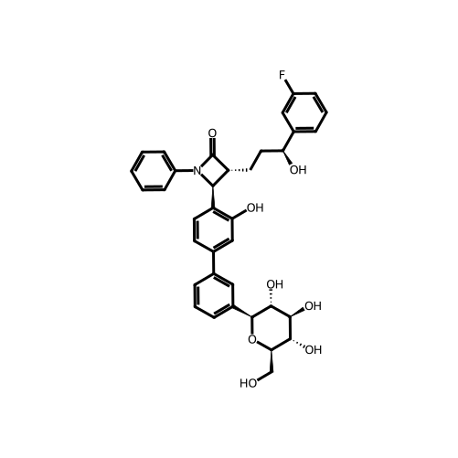 O=C1[C@H](CC[C@H](O)c2cccc(F)c2)[C@@H](c2ccc(-c3cccc([C@@H]4O[C@H](CO)[C@@H](O)[C@H](O)[C@H]4O)c3)cc2O)N1c1ccccc1